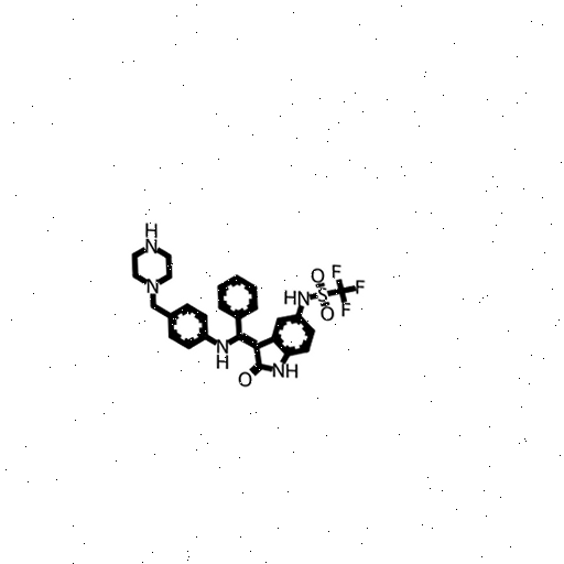 O=C1Nc2ccc(NS(=O)(=O)C(F)(F)F)cc2/C1=C(/Nc1ccc(CN2CCNCC2)cc1)c1ccccc1